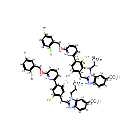 COCCn1c(Cc2cc(F)c(-c3cccc(OCc4cc(F)ccc4F)n3)cc2F)nc2ccc(C(=O)O)cc21.COCCn1c(Cc2cc(F)c(-c3cccc(OCc4cc(F)ccc4F)n3)cc2F)nc2ccc(C(=O)O)cc21